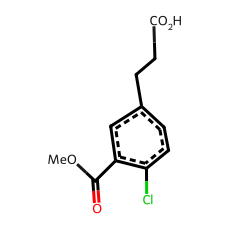 COC(=O)c1cc(CCC(=O)O)ccc1Cl